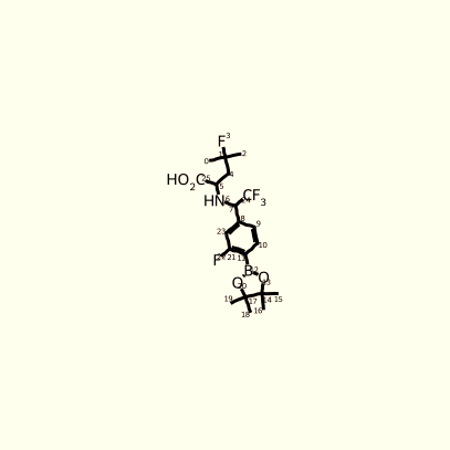 CC(C)(F)CC(NC(c1ccc(B2OC(C)(C)C(C)(C)O2)c(F)c1)C(F)(F)F)C(=O)O